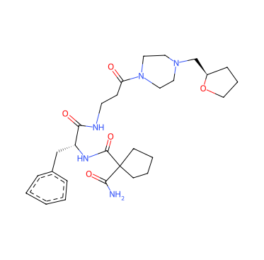 NC(=O)C1(C(=O)N[C@H](Cc2ccccc2)C(=O)NCCC(=O)N2CCN(C[C@H]3CCCO3)CC2)CCCC1